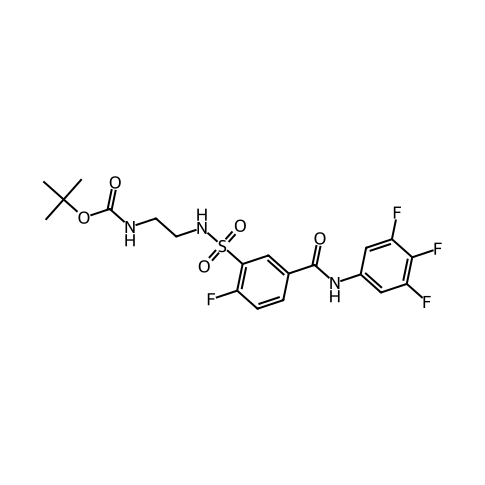 CC(C)(C)OC(=O)NCCNS(=O)(=O)c1cc(C(=O)Nc2cc(F)c(F)c(F)c2)ccc1F